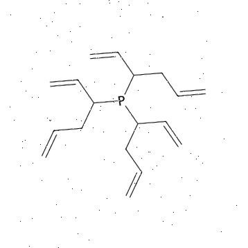 C=CCC(C=C)P(C(C=C)CC=C)C(C=C)CC=C